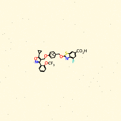 O=C(O)c1cc(F)c2nc(OCC34CCC(OCc5c(-c6ccccc6OC(F)(F)F)noc5C5CC5)(CC3)CC4)sc2c1